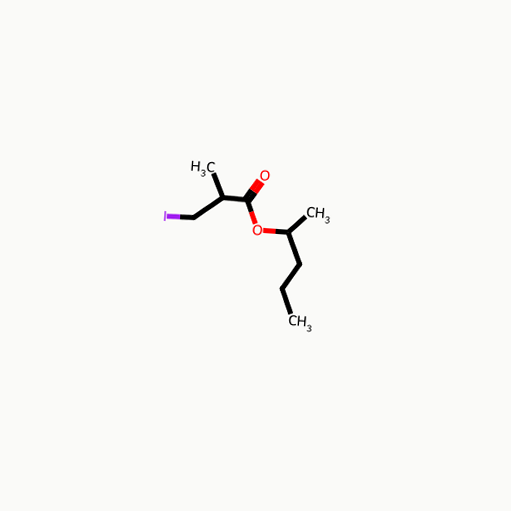 CCCC(C)OC(=O)C(C)CI